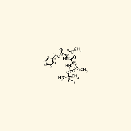 COC[C@H](NC(=O)OC(C)(C)C)C(=O)N[C@@H](COC)C(=O)OCc1ccccc1